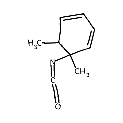 CC1C=CC=CC1(C)N=C=O